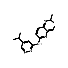 C/C=C1/N=C(Nc2cc(C(C)C)cnn2)C=C/C1=N/C(C)C